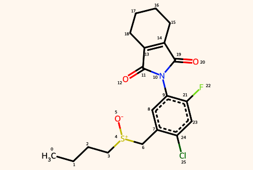 CCCC[S+]([O-])Cc1cc(N2C(=O)C3=C(CCCC3)C2=O)c(F)cc1Cl